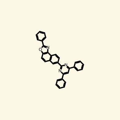 c1ccc(-c2cc(-c3ccccc3)nc(-c3ccc4c(ccc5oc(-c6ccccc6)nc54)c3)n2)cc1